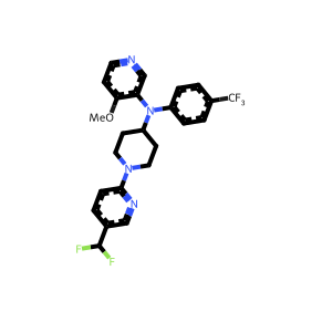 COc1ccncc1N(c1ccc(C(F)(F)F)cc1)C1CCN(c2ccc(C(F)F)cn2)CC1